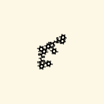 O=C(CNC(=O)c1nccc2ccccc12)Nc1ccc(-c2ccc(C(=O)NCC(=O)Nc3ccccc3Oc3ccccc3)c3ccccc23)cc1Oc1ccncc1